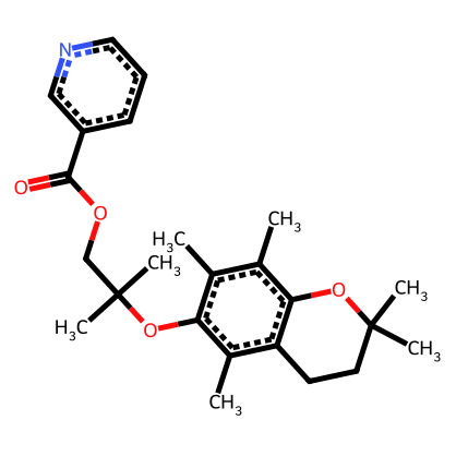 Cc1c(C)c2c(c(C)c1OC(C)(C)COC(=O)c1cccnc1)CCC(C)(C)O2